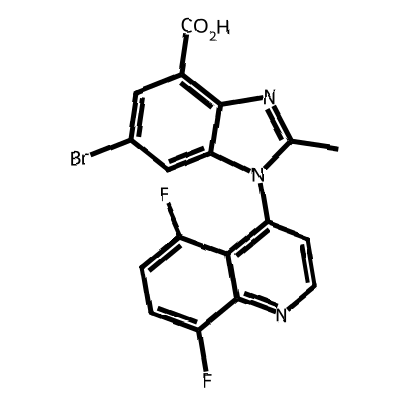 Cc1nc2c(C(=O)O)cc(Br)cc2n1-c1ccnc2c(F)ccc(F)c12